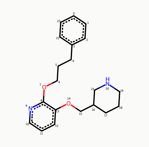 c1ccc(CCCOc2ncccc2OCC2CCCNC2)cc1